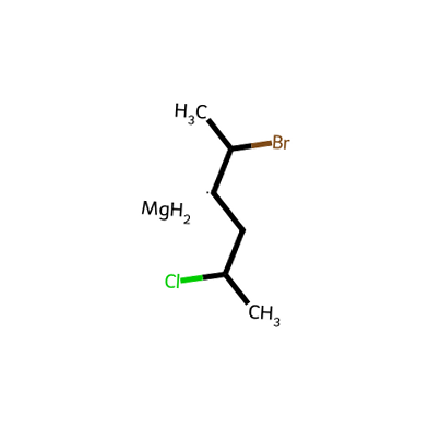 CC(Br)[CH]CC(C)Cl.[MgH2]